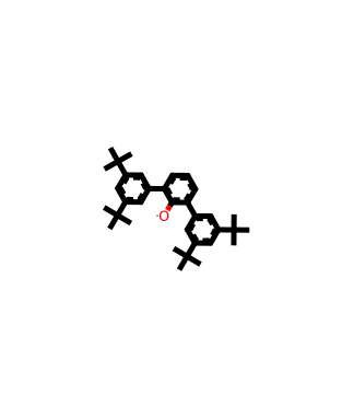 CC(C)(C)c1cc(-c2cccc(-c3cc(C(C)(C)C)cc(C(C)(C)C)c3)c2[O])cc(C(C)(C)C)c1